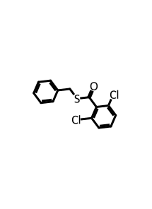 O=C(SCc1ccccc1)c1c(Cl)cccc1Cl